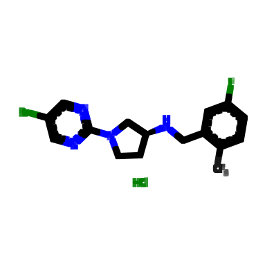 Cl.Fc1ccc(C(F)(F)F)c(CN[C@H]2CCN(c3ncc(Br)cn3)C2)c1